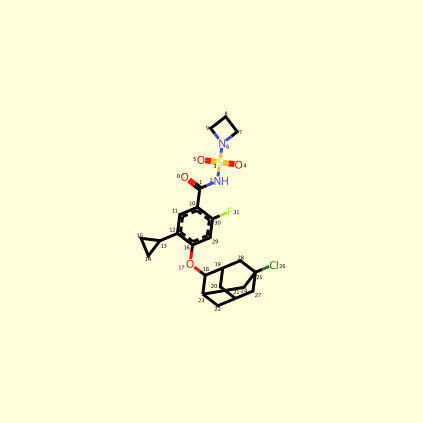 O=C(NS(=O)(=O)N1CCC1)c1cc(C2CC2)c(OC2C3CC4CC2CC(Cl)(C4)C3)cc1F